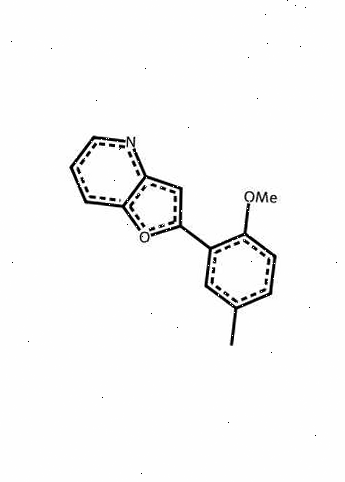 COc1ccc(C)cc1-c1cc2ncccc2o1